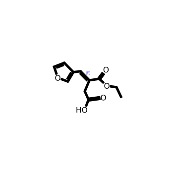 CCOC(=O)/C(=C/c1ccoc1)CC(=O)O